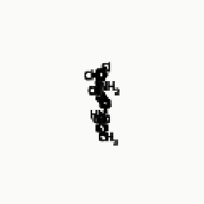 CN1CCN(S(=O)(=O)NCc2ccc3c(c2)CN(C(=O)[C@H](N)Cc2ccc(Cl)cc2Cl)C3)CC1